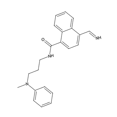 CN(CCCNC(=O)c1ccc(C=N)c2ccccc12)c1ccccc1